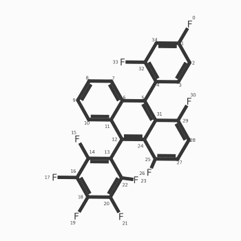 Fc1ccc(-c2c3ccccc3c(-c3c(F)c(F)c(F)c(F)c3F)c3c(F)ccc(F)c23)c(F)c1